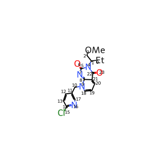 CCC(COC)n1c(=O)nc2n(Cc3ccc(Cl)nc3)cccc-2c1=O